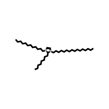 CCCCCCCCCCCCCCCCN1C=CN(CCCCCCCCCCCC)C1CCCCCCCC